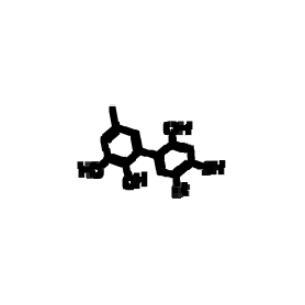 CCc1cc(-c2cc(C)cc(O)c2O)c(O)cc1S